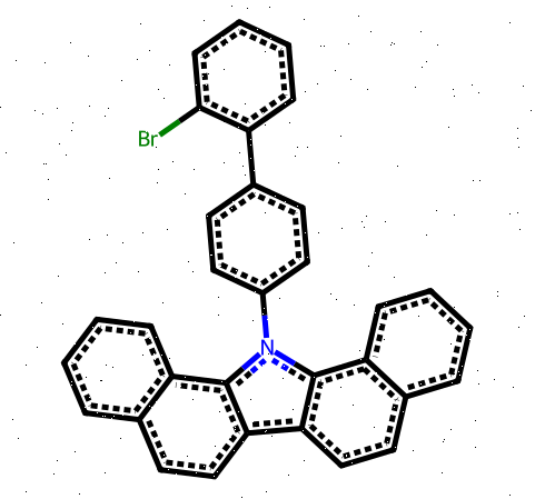 Brc1ccccc1-c1ccc(-n2c3c4ccccc4ccc3c3ccc4ccccc4c32)cc1